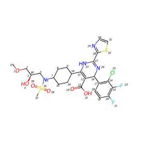 COC[C@H](O)CN(C1CCC(C2=C(C(=O)O)C(c3ccc(F)c(F)c3Cl)N=C(c3nccs3)N2)CC1)S(C)(=O)=O